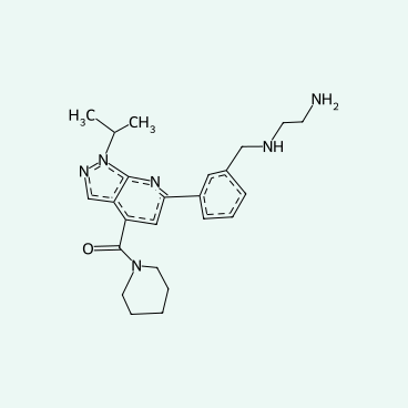 CC(C)n1ncc2c(C(=O)N3CCCCC3)cc(-c3cccc(CNCCN)c3)nc21